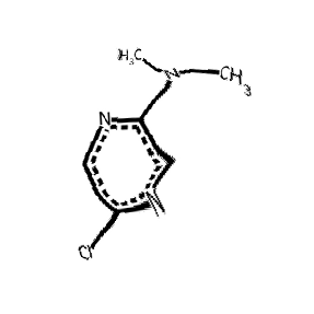 CN(C)c1cnc(Cl)cn1